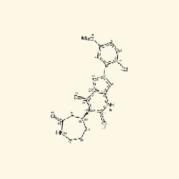 COc1ccc(Cl)c(-c2cc3[nH]c(=O)n([C@H]4CCCNC(=O)C4)c(=O)c3s2)c1